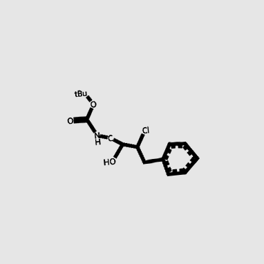 CC(C)(C)OC(=O)NCC(O)C(Cl)Cc1ccccc1